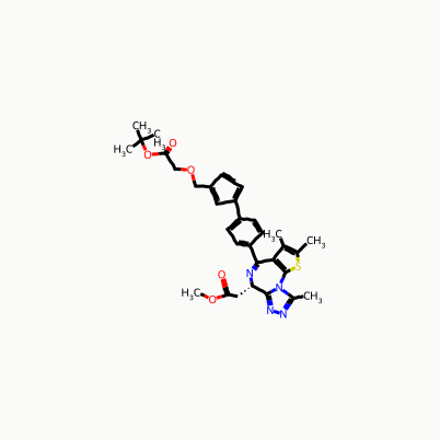 COC(=O)C[C@@H]1N=C(c2ccc(-c3cccc(COCC(=O)OC(C)(C)C)c3)cc2)c2c(sc(C)c2C)-n2c(C)nnc21